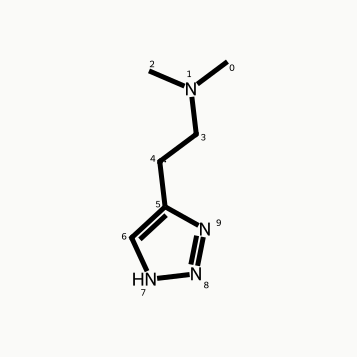 CN(C)C[CH]c1c[nH]nn1